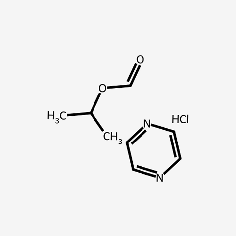 CC(C)OC=O.Cl.c1cnccn1